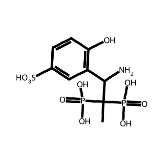 CC(C(N)c1cc(S(=O)(=O)O)ccc1O)(P(=O)(O)O)P(=O)(O)O